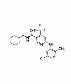 Cc1ccc(Cl)cc1Nc1cc(C(F)(F)F)c(C(=O)NCC2CCCCC2)cn1